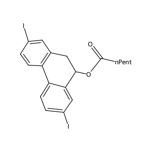 CCCCCC(=O)OC1Cc2cc(I)ccc2-c2ccc(I)cc21